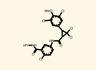 CCCNC(=O)c1cc(NC(=O)C2C(c3cc(Cl)c(OC)c(Cl)c3)C2(Cl)Cl)ccc1Cl